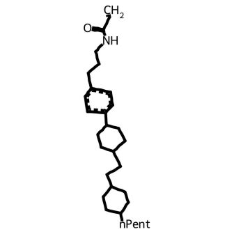 C=CC(=O)NCCCc1ccc(C2CCC(CCC3CCC(CCCCC)CC3)CC2)cc1